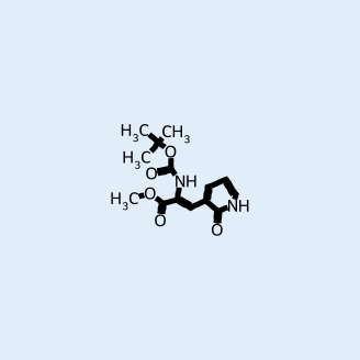 COC(=O)C(=Cc1ccc[nH]c1=O)NC(=O)OC(C)(C)C